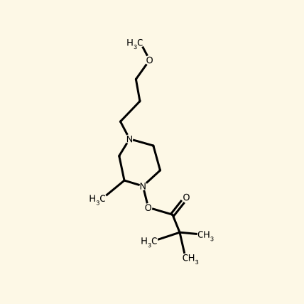 COCCCN1CCN(OC(=O)C(C)(C)C)C(C)C1